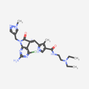 CCN(CC)CCNC(=O)c1c[nH]c(/C=C2/C(=O)N(Cc3cnn(C)c3)c3nc(N)nc(Cl)c32)c1C